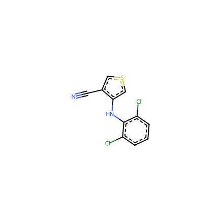 N#Cc1cscc1Nc1c(Cl)cccc1Cl